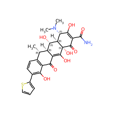 C[C@H]1c2ccc(-c3cccs3)c(O)c2C(=O)C2=C(O)[C@]3(O)C(=O)C(C(N)=O)=C(O)[C@@H](N(C)C)[C@@H]3[C@@H](O)[C@@H]21